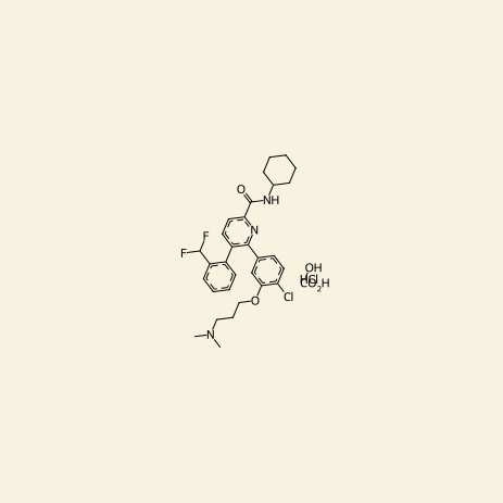 CN(C)CCCOc1cc(-c2nc(C(=O)NC3CCCCC3)ccc2-c2ccccc2C(F)F)ccc1Cl.Cl.O=C(O)O